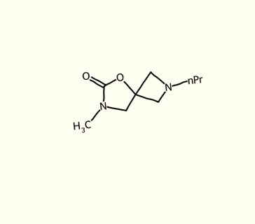 CCCN1CC2(C1)CN(C)C(=O)O2